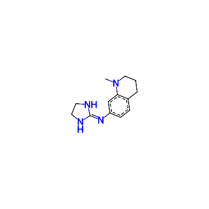 CN1CCCc2ccc(N=C3NCCN3)cc21